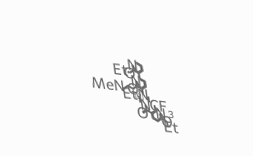 CCOc1ccc(C(=O)N2CCN(c3ccc(-c4cccnc4OCC)nc3OCCNC)[C@H](CC)C2)c(C(F)(F)F)n1